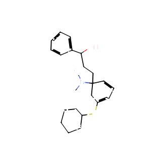 CN(C)C1(CCC(O)c2ccccc2)C=CC=C(SC2CCCCC2)C1